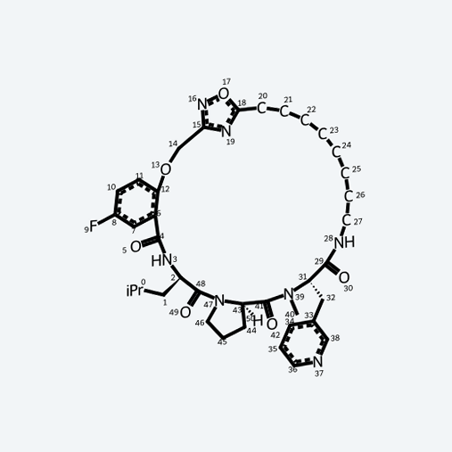 CC(C)C[C@H]1NC(=O)c2cc(F)ccc2OCc2noc(n2)CCCCCCCCNC(=O)[C@H](Cc2cccnc2)N(C)C(=O)[C@H]2CCCN2C1=O